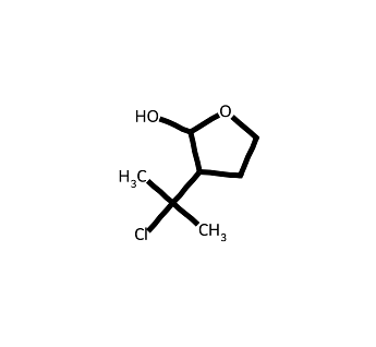 CC(C)(Cl)C1CCOC1O